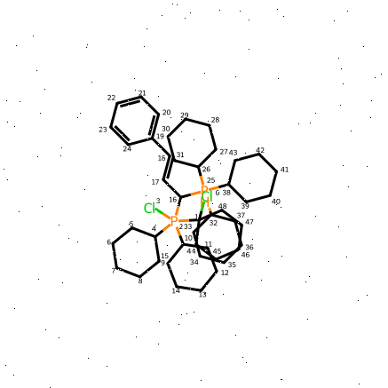 ClC1(P(Cl)(C2CCCCC2)(C2CCCCC2)C(C=Cc2ccccc2)[PH](C2CCCCC2)(C2CCCCC2)C2CCCCC2)CCCCC1